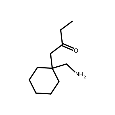 CCC(=O)CC1(CN)CCCCC1